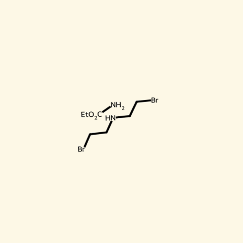 BrCCNCCBr.CCOC(N)=O